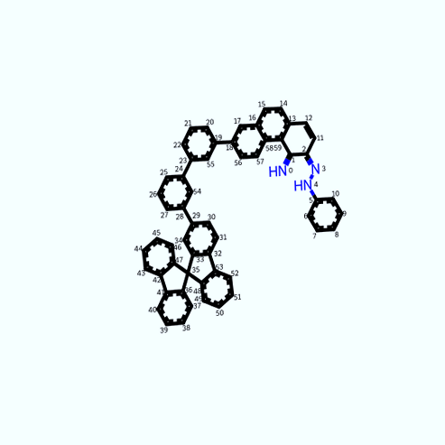 N=C1/C(=N\Nc2ccccc2)C=Cc2ccc3cc(-c4cccc(-c5cccc(-c6ccc7c(c6)C6(c8ccccc8-c8ccccc86)c6ccccc6-7)c5)c4)ccc3c21